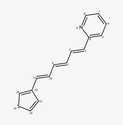 C(=CC=Cc1ccccn1)C=Cc1ccsc1